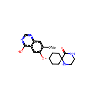 COc1cc2ncnc(O)c2cc1O[C@H]1CC[C@]2(CC1)NCCNC2=O